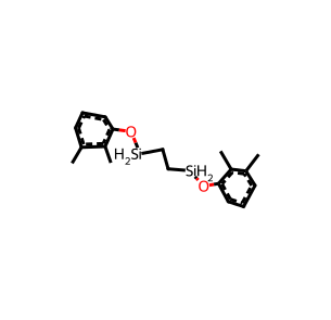 Cc1cccc(O[SiH2]CC[SiH2]Oc2cccc(C)c2C)c1C